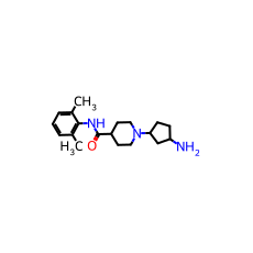 Cc1cccc(C)c1NC(=O)C1CCN(C2CCC(N)C2)CC1